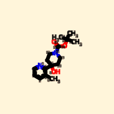 Cc1cccnc1C1(O)CCN(C(=O)OC(C)(C)C)CC1